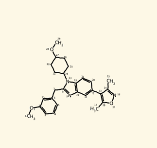 COc1cccc(Cc2nc3cc(-c4c(C)noc4C)ccc3n2C2CCC(OC)CC2)c1